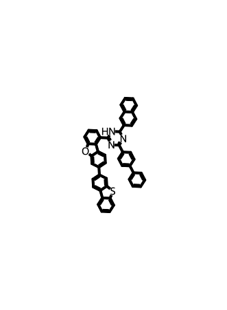 c1ccc(-c2ccc(C3=NC(c4ccc5ccccc5c4)NC(c4cccc5oc6cc(-c7ccc8c(c7)sc7ccccc78)ccc6c45)=N3)cc2)cc1